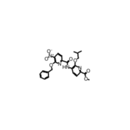 COC(=O)c1ccc(NC(=O)c2ccc([N+](=O)[O-])c(OCc3ccccc3)n2)c(OCC(C)C)n1